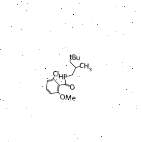 COc1cccc(Cl)c1C(=O)PCC(C)CC(C)(C)C